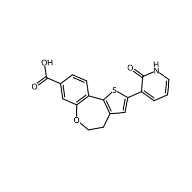 O=C(O)c1ccc2c(c1)OCCc1cc(-c3ccc[nH]c3=O)sc1-2